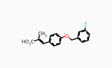 CC(=Cc1ccc(OCc2cccc(F)c2)cc1)C(=O)O